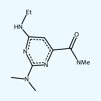 CCNc1cc(C(=O)NC)nc(N(C)C)n1